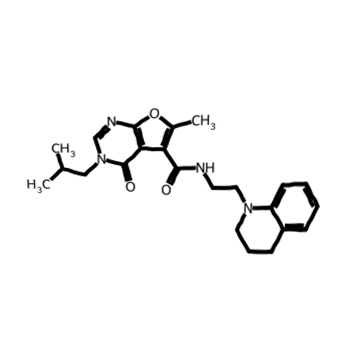 Cc1oc2ncn(CC(C)C)c(=O)c2c1C(=O)NCCN1CCCc2ccccc21